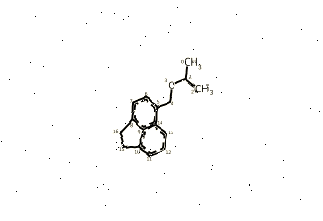 CC(C)OCc1ccc2c3c(cccc13)CC2